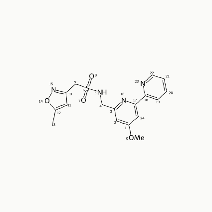 COc1cc(CNS(=O)(=O)Cc2cc(C)on2)nc(-c2ccccn2)c1